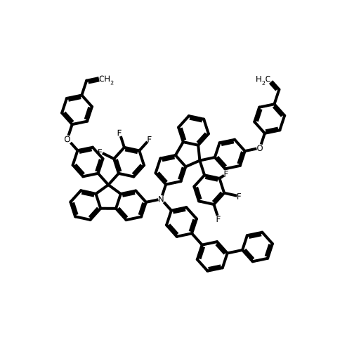 C=Cc1ccc(Oc2ccc(C3(c4ccc(F)c(F)c4F)c4ccccc4-c4ccc(N(c5ccc(-c6cccc(-c7ccccc7)c6)cc5)c5ccc6c(c5)C(c5ccc(Oc7ccc(C=C)cc7)cc5)(c5ccc(F)c(F)c5F)c5ccccc5-6)cc43)cc2)cc1